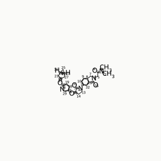 CN(C)C(=O)CN1Cc2ccc(N3CC[C@@H](Oc4ccc(O[C@@H]5C[C@@H]6C[C@@H]6C5)nc4)C3=O)cc2C1=O